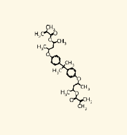 C=C(C)C(=O)OC(C)CC(C)Oc1ccc(C(C)(C)c2ccc(OC(C)CC(C)OC(=O)C(=C)C)cc2)cc1